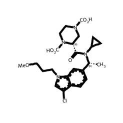 COCCCn1cc(Cl)c2ccc([C@@H](C)N(C(=O)[C@H]3CN(C(=O)O)CCN3C(=O)O)C3CC3)cc21